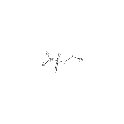 NCCS(=O)(=O)[NH+]([O-])O